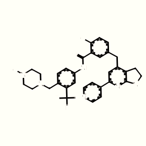 Cc1ccc(Cc2cc(-c3ccncc3)nc3c2CCN3)cc1C(=O)Nc1ccc(CN2CCN(C)CC2)c(C(F)(F)F)c1